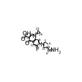 C[C@@H](N)[C@H]1CCN(c2cc3c(cc2F)c(=O)c(C(=O)O)cn3C2CC2)C1